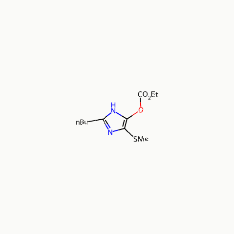 CCCCc1nc(SC)c(OC(=O)OCC)[nH]1